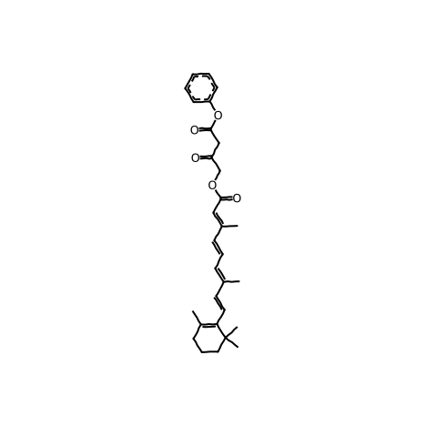 CC1=C(/C=C/C(C)=C/C=C/C(C)=C/C(=O)OCC(=O)CC(=O)Oc2ccccc2)C(C)(C)CCC1